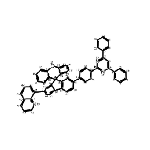 c1ccc(-c2cc(-c3ccccc3)nc(-c3ccc(-c4ccc5c(c4)C4(c6ccccc6Oc6ccccc64)c4cc(-c6cccc7cccnc67)ccc4-5)cc3)n2)cc1